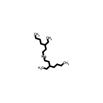 CCCCC(CC)C[CH2][Mg][CH2]CC(CC)CCCC